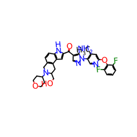 Cc1cc(Oc2c(F)cccc2F)ncc1-n1ncc(C(=O)c2cc3c4c(ccc3[nH]2)CN(C2CCOCC2)C(CO)C4)c1N